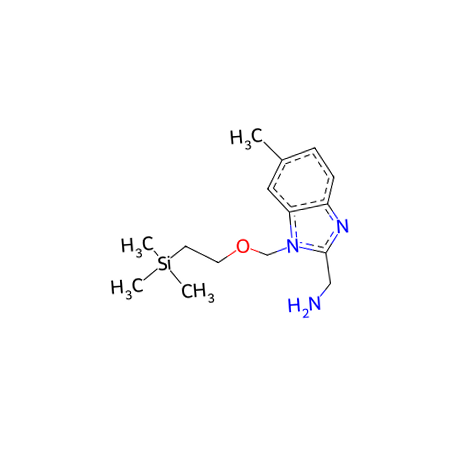 Cc1ccc2nc(CN)n(COCC[Si](C)(C)C)c2c1